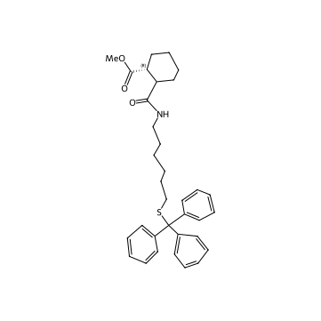 COC(=O)[C@@H]1CCCCC1C(=O)NCCCCCCSC(c1ccccc1)(c1ccccc1)c1ccccc1